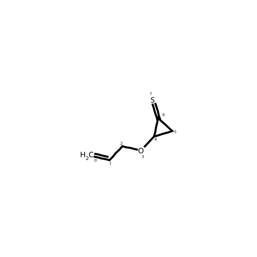 C=CCOC1CC1=S